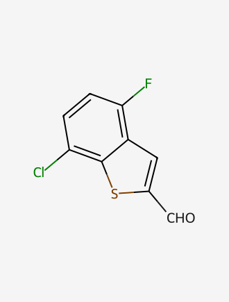 O=Cc1cc2c(F)ccc(Cl)c2s1